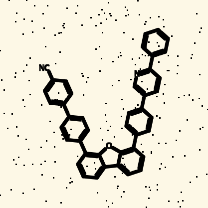 N#Cc1ccc(-c2ccc(-c3cccc4c3oc3c(-c5ccc(-c6ccc(-c7ccccc7)nc6)cc5)cccc34)cc2)cc1